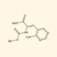 COC(=O)/C(=C/c1cncnc1N)NC(=O)OC(C)(C)C